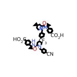 N#Cc1ccc(CN2CCCC[C@@H]2C(=O)NC2(c3ccc(C(=O)O)cc3)CC2)cc1.O=C(O)c1ccc(C2(NC(=O)C3CC4(CCN3Cc3ccc(C(F)(F)F)cc3)CC4)CC2)cc1